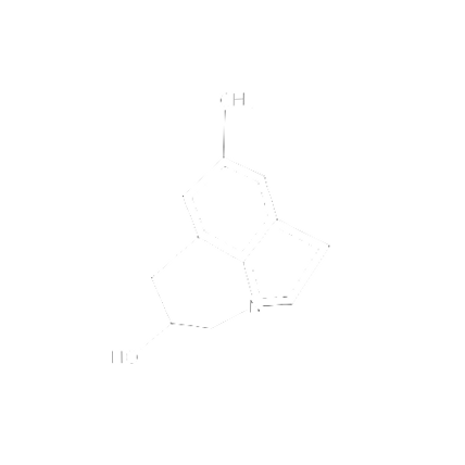 Cc1cc2c3c(ccn3CC(O)C2)c1